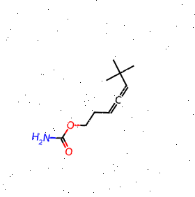 CC(C)(C)C=C=CCCOC(N)=O